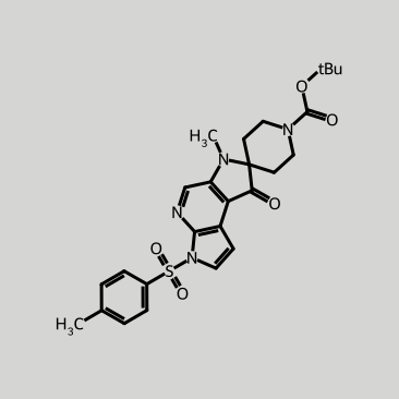 Cc1ccc(S(=O)(=O)n2ccc3c4c(cnc32)N(C)C2(CCN(C(=O)OC(C)(C)C)CC2)C4=O)cc1